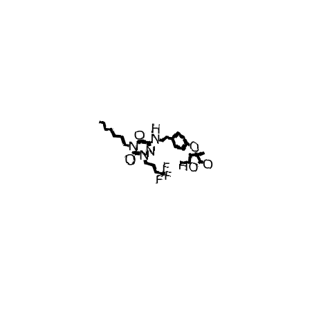 CCCCCCCn1c(=O)c(NCCc2ccc(OC(C)(CCC)C(=O)O)cc2)nn(CCCC(F)(F)F)c1=O